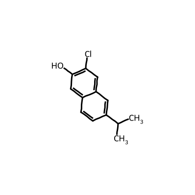 CC(C)c1ccc2cc(O)c(Cl)cc2c1